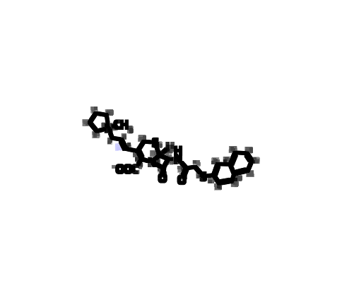 C[N+]1(C/C=C/C2=C(C(=O)[O-])N3C(=O)[C@@H](NC(=O)CSc4ccc5ccccc5c4)[C@H]3SC2)CCCC1